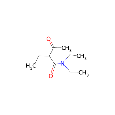 CCC(C(C)=O)C(=O)N(CC)CC